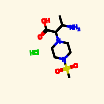 CC(N)C(C(=O)O)N1CCN(S(C)(=O)=O)CC1.Cl